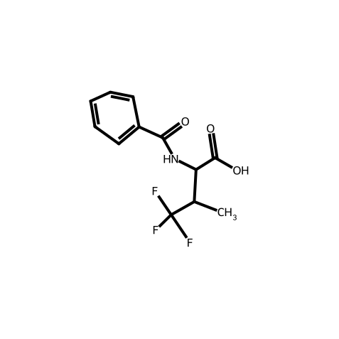 CC(C(NC(=O)c1ccccc1)C(=O)O)C(F)(F)F